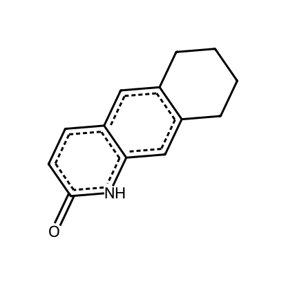 O=c1ccc2cc3c(cc2[nH]1)CCCC3